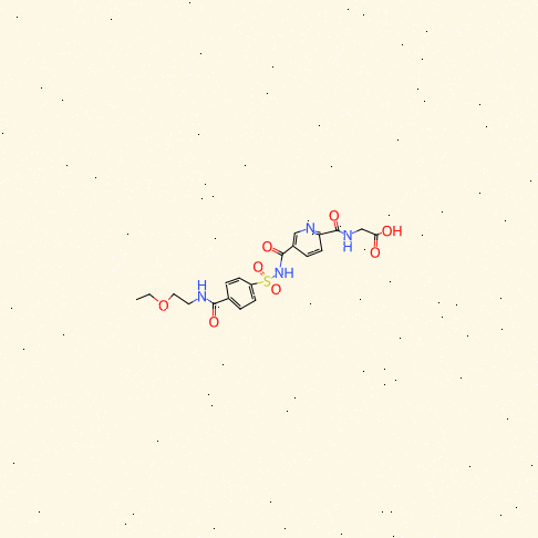 CCOCCNC(=O)c1ccc(S(=O)(=O)NC(=O)c2ccc(C(=O)NCC(=O)O)nc2)cc1